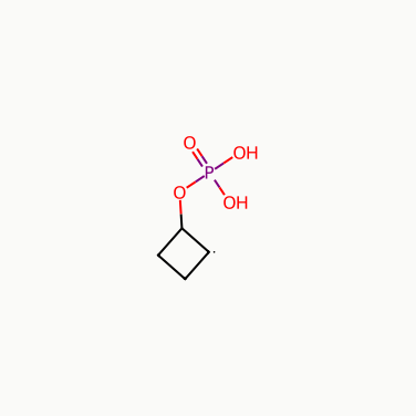 O=P(O)(O)OC1[CH]CC1